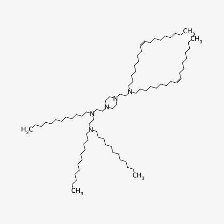 CCCCCCCC/C=C\CCCCCCCCN(CCCCCCCC/C=C\CCCCCCCC)CCN1CCN(CCN(CCCCCCCCCCCC)CCN(CCCCCCCCCCCC)CCCCCCCCCCCC)CC1